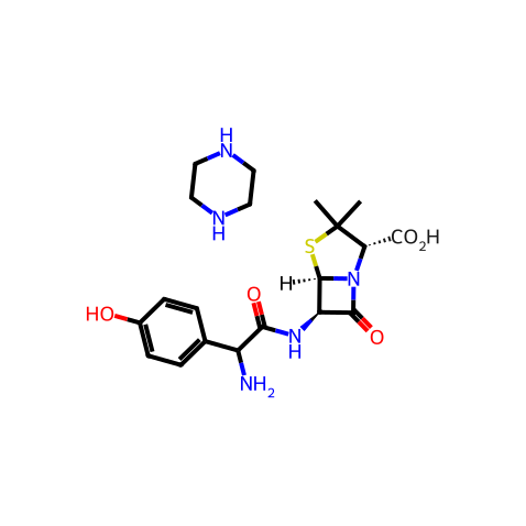 C1CNCCN1.CC1(C)S[C@@H]2[C@H](NC(=O)C(N)c3ccc(O)cc3)C(=O)N2[C@H]1C(=O)O